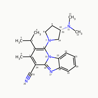 Cc1c(C(C)C)c(N2CC[C@H](N(C)C)C2)n2c(nc3ccccc32)c1C#N